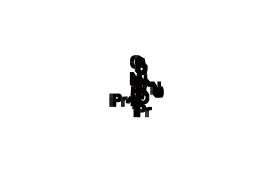 CC(C)CCN(CCC(C)C)C(=O)c1ccc2nc(-c3ccc4c(c3)OCC4)n(CCCN3CCCCC3)c2n1